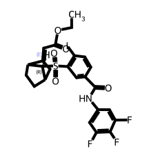 CCOC(=O)/C=C1\CC2CCC1[C@@H]2S(=O)(=O)c1cc(C(=O)Nc2cc(F)c(F)c(F)c2)ccc1I